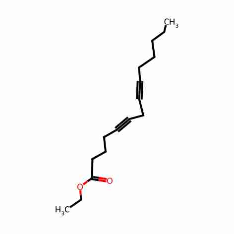 CCCCCC#CCC#CCCCC(=O)OCC